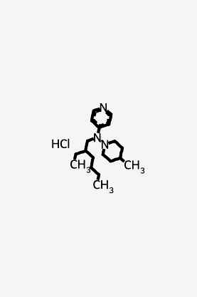 CCCCC(CC)CN(c1ccncc1)N1CCC(C)CC1.Cl